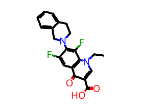 CCn1cc(C(=O)O)c(=O)c2cc(F)c(N3CCc4ccccc4C3)c(F)c21